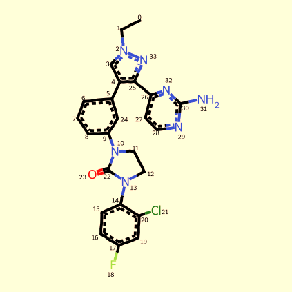 CCn1cc(-c2cccc(N3CCN(c4ccc(F)cc4Cl)C3=O)c2)c(-c2ccnc(N)n2)n1